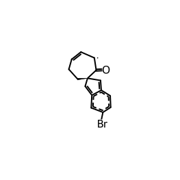 O=C1[CH]C=CCC[C@]12C=c1ccc(Br)cc1=C2